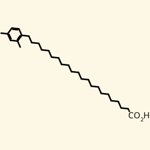 Cc1ccc(CCCCCCCCCCCCCCCCCCCCCC(=O)O)c(C)c1